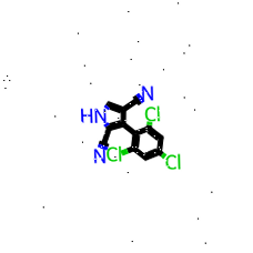 N#Cc1c[nH]c(C#N)c1-c1c(Cl)cc(Cl)cc1Cl